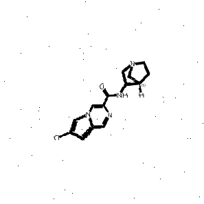 O=C(NC1CN2CC[C@H]1C2)c1cn2cc(Cl)cc2cn1